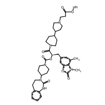 CCCOC(=O)CCN1CCC(C2CCN(C(=O)[C@@H](Cc3cc(C)c4c(c3)oc(=O)n4C)OC(=O)N3CCC(N4CCc5ccccc5NC4=O)CC3)CC2)CC1